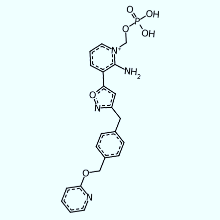 Nc1c(-c2cc(Cc3ccc(COc4ccccn4)cc3)no2)ccc[n+]1COP(=O)(O)O